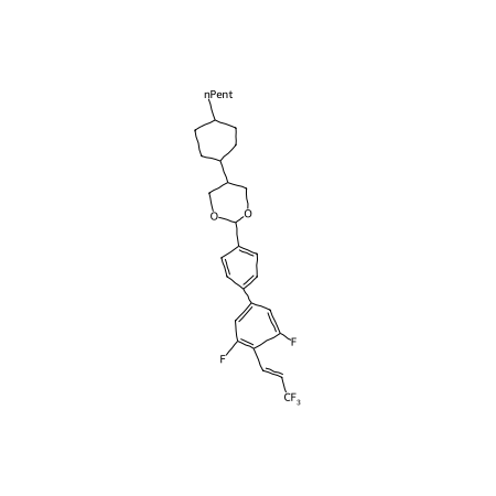 CCCCCC1CCC(C2COC(c3ccc(-c4cc(F)c(/C=C/C(F)(F)F)c(F)c4)cc3)OC2)CC1